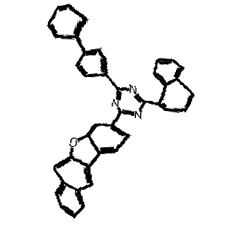 c1ccc(-c2ccc(-c3nc(-c4ccc5c(c4)oc4cc6ccccc6cc45)nc(-c4cccc5ccccc45)n3)cc2)cc1